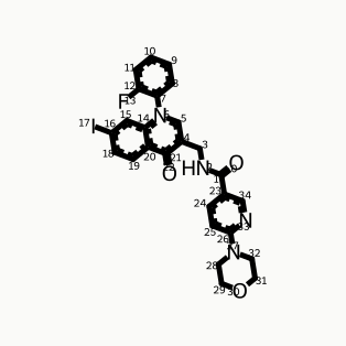 O=C(NCc1cn(-c2ccccc2F)c2cc(I)ccc2c1=O)c1ccc(N2CCOCC2)nc1